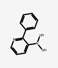 CCCN(CCC)c1cccnc1-c1ccccc1